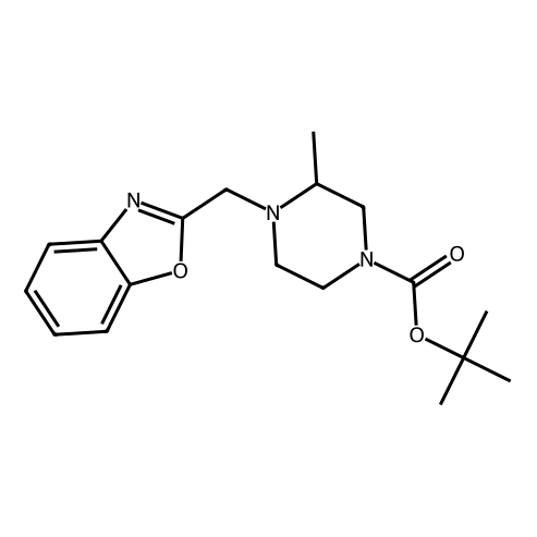 CC1CN(C(=O)OC(C)(C)C)CCN1Cc1nc2ccccc2o1